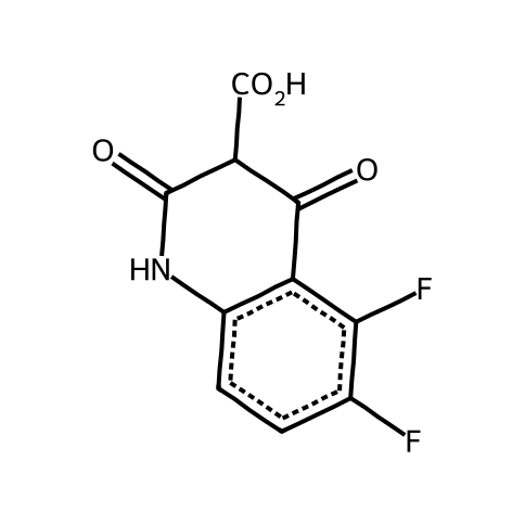 O=C(O)C1C(=O)Nc2ccc(F)c(F)c2C1=O